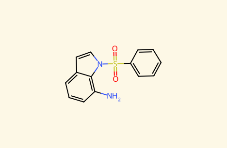 Nc1cccc2ccn(S(=O)(=O)c3ccccc3)c12